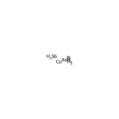 [AsH3].[BiH3].[Cu].[SbH3]